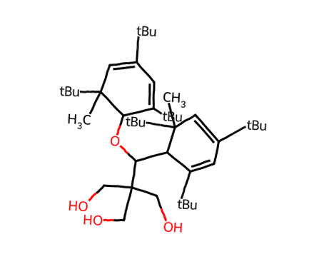 CC(C)(C)C1=CC(C)(C(C)(C)C)C(OC(C2C(C(C)(C)C)=CC(C(C)(C)C)=CC2(C)C(C)(C)C)C(CO)(CO)CO)C(C(C)(C)C)=C1